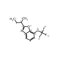 CCC(C)c1nc2cccc(OC(F)(F)F)c2o1